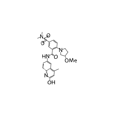 COC1CCN(c2ccc(S(=O)(=O)N(C)C)cc2C(=O)Nc2ccc3nc(O)cc(C)c3c2)C1